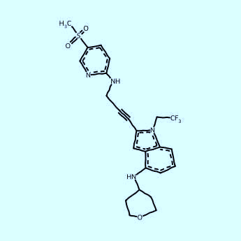 CS(=O)(=O)c1ccc(NCC#Cc2cc3c(NC4CCOCC4)cccc3n2CC(F)(F)F)nc1